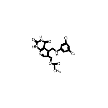 CC(=O)OCc1cnc2[nH]c(=O)[nH]c(=O)c2c1CNc1cc(Cl)cc(Cl)c1